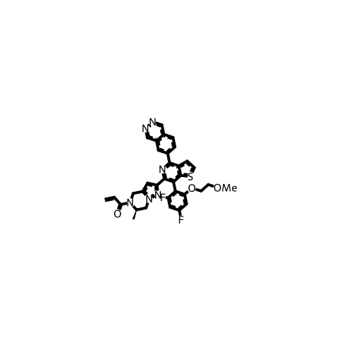 C=CC(=O)N1Cc2cc(-c3nc(-c4ccc5cnncc5c4)c4ccsc4c3-c3c(F)cc(F)cc3OCCOC)nn2C[C@H]1C